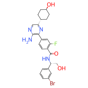 Nc1ncc([C@H]2CC[C@H](O)CC2)nc1-c1ccc(C(=O)N[C@H](CO)c2cccc(Br)c2)c(F)c1